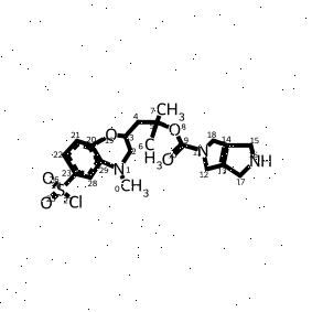 CN1CC(CC(C)(C)OC(=O)N2CC3=C(CNC3)C2)Oc2ccc(S(=O)(=O)Cl)cc21